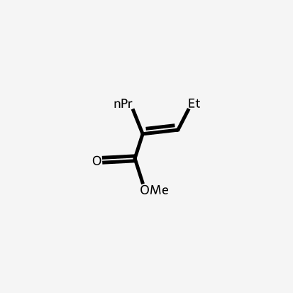 [CH2]OC(=O)C(=CCC)CCC